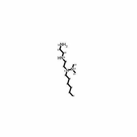 CCCCCCN(CCNCCN)N(C)C